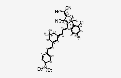 CCN(CC)C1C=CC(/C=C/C2=CC(=C/C=C/C3=C(C#N)C(=C(C#N)C#N)OC3(C)c3ccc(Cl)cc3Cl)/CC(C)(C)C2)=CC1